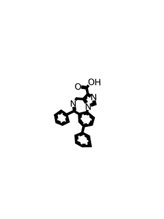 O=C(O)c1ncn2c1CN=C(c1ccccc1)c1cc(-c3ccccc3)ccc1-2